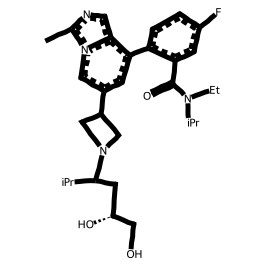 CCN(C(=O)c1cc(F)ccc1-c1cc(C2CN(C(C[C@@H](O)CO)C(C)C)C2)cn2c(C)ncc12)C(C)C